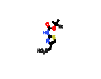 CCC(C)(C)OC(=O)Nc1nc(CC(=O)O)cs1